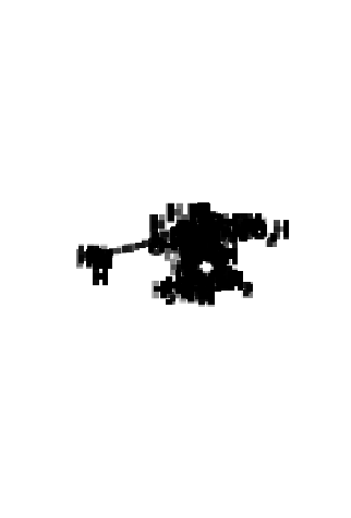 CCCC[C@H](NC(=O)[C@H](CCCCNC(O)CN(CC(=O)O)CC(O)O)NC(=O)[C@H](CO)NC(=O)[C@H](CCC(N)=O)NC(=O)[C@H](CO)NC(=O)CNC(=O)COCCOCCNC(=O)CCCCCCCCCCCCCCCC1=NNNN1)C(=O)N[C@H]1CCC(=O)NCCCCC(C(N)=O)NC(=O)C(Cc2c[nH]c3ccccc23)NC(=O)C(CCCNC(=N)N)NC(=O)[C@@H](Cc2ccccc2)NC(=O)[C@@H]2C[C@@H](O)CN2C1=O